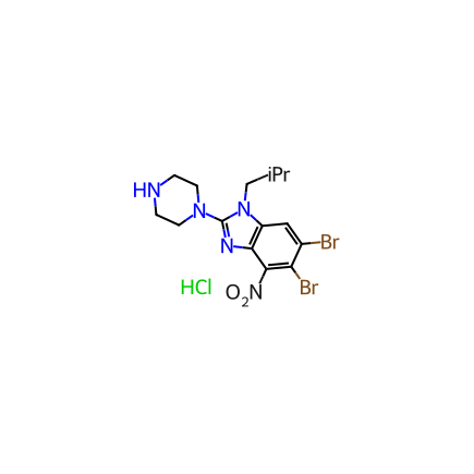 CC(C)Cn1c(N2CCNCC2)nc2c([N+](=O)[O-])c(Br)c(Br)cc21.Cl